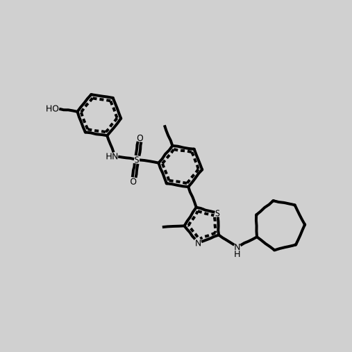 Cc1ccc(-c2sc(NC3CCCCCC3)nc2C)cc1S(=O)(=O)Nc1cccc(O)c1